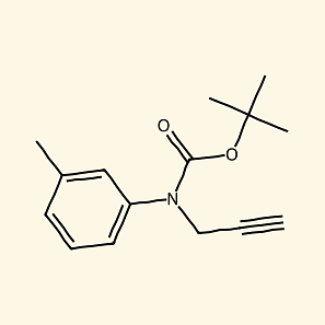 C#CCN(C(=O)OC(C)(C)C)c1cccc(C)c1